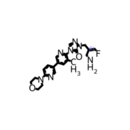 Cc1cc(-c2ccc(N3CCOCC3)nc2)cnc1-n1cnn(C/C(=C/F)CN)c1=O